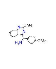 COc1ccc(C(N)c2nc(OC)nc3ccccc23)cc1